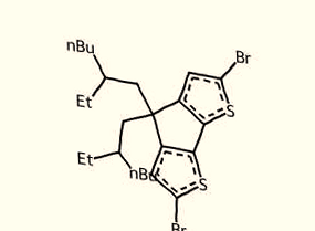 CCCCC(CC)CC1(CC(CC)CCCC)c2cc(Br)sc2-c2sc(Br)cc21